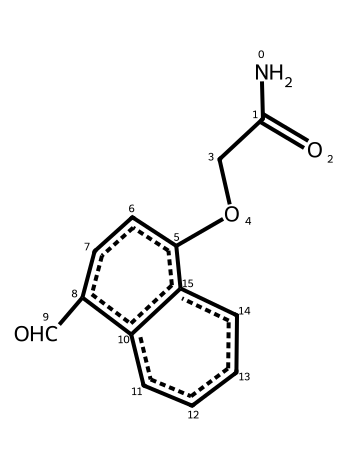 NC(=O)COc1ccc(C=O)c2ccccc12